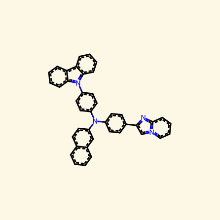 c1ccc2cc(N(c3ccc(-c4cn5ccccc5n4)cc3)c3ccc(-n4c5ccccc5c5ccccc54)cc3)ccc2c1